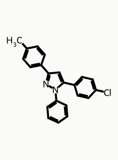 Cc1ccc(-c2cc(-c3ccc(Cl)cc3)n(-c3ccccc3)n2)cc1